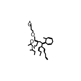 C=CCC=CC(/C=C\CC)/C(C/C(=C\COCCCOC)CN(C(C)=O)C(C)CC)=C1\C=CCC=CC1C